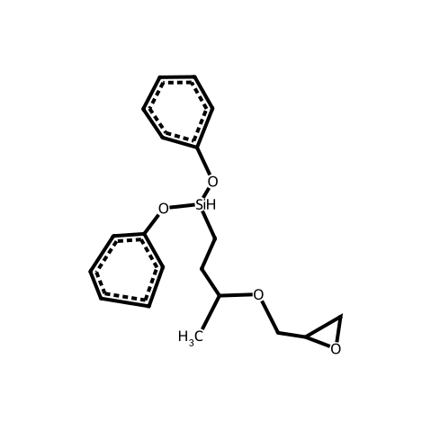 CC(CC[SiH](Oc1ccccc1)Oc1ccccc1)OCC1CO1